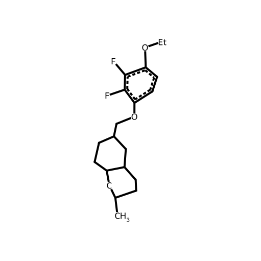 CCOc1ccc(OCC2CCC3CC(C)CCC3C2)c(F)c1F